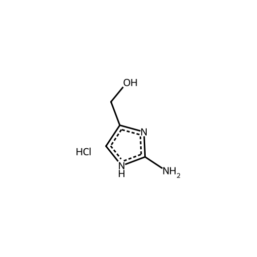 Cl.Nc1nc(CO)c[nH]1